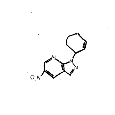 O=[N+]([O-])c1cnc2c(cnn2C2C=CCCC2)c1